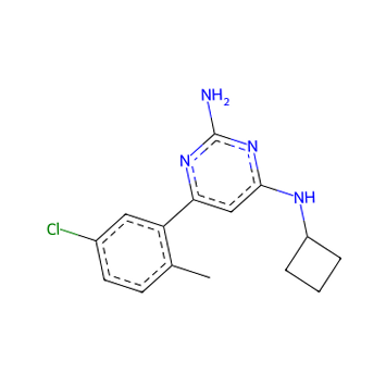 Cc1ccc(Cl)cc1-c1cc(NC2CCC2)nc(N)n1